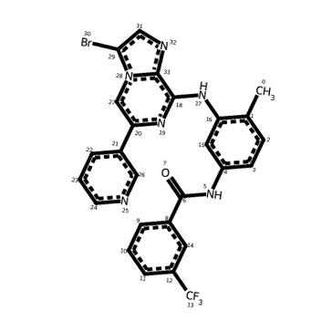 Cc1ccc(NC(=O)c2cccc(C(F)(F)F)c2)cc1Nc1nc(-c2cccnc2)cn2c(Br)cnc12